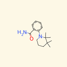 CC1(C)CCCN(c2ccccc2C(N)=O)C1(C)C